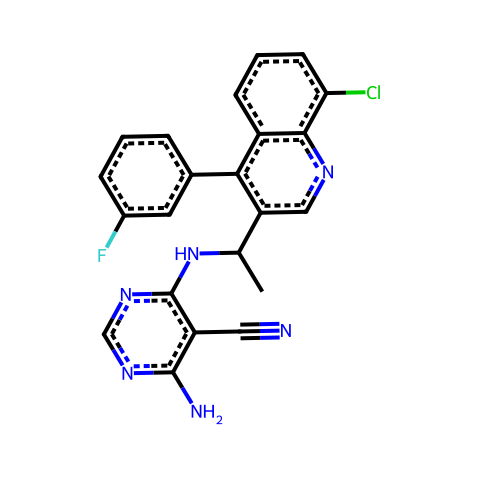 CC(Nc1ncnc(N)c1C#N)c1cnc2c(Cl)cccc2c1-c1cccc(F)c1